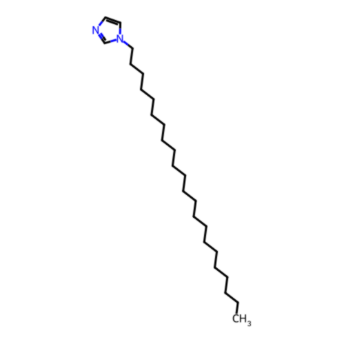 CCCCCCCCCCCCCCCCCCCCCCn1ccnc1